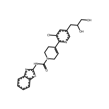 O=C(Nc1nc2ccccc2s1)N1CC=C(c2ncc(CC(O)CO)cc2Cl)CC1